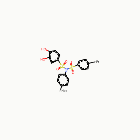 CCCCCCc1ccc(N(S(=O)(=O)c2ccc(CCC)cc2)S(=O)(=O)c2ccc(O)c(O)c2)cc1